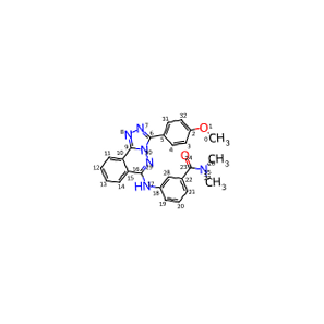 COc1ccc(-c2nnc3c4ccccc4c(Nc4cccc(C(=O)N(C)C)c4)nn23)cc1